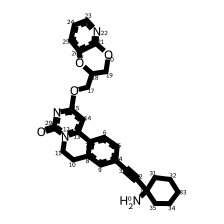 NC1(C#Cc2ccc3c(c2)CCn2c-3cc(OCC3COc4ncccc4O3)nc2=O)CCCCC1